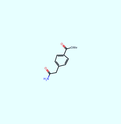 COC(=O)c1ccc(CC(N)=O)cc1